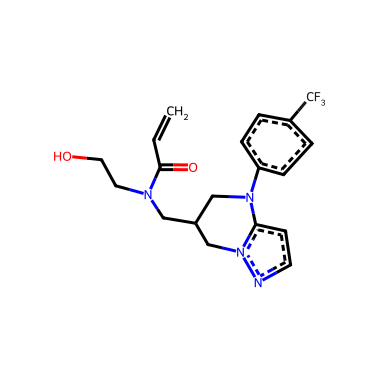 C=CC(=O)N(CCO)CC1CN(c2ccc(C(F)(F)F)cc2)c2ccnn2C1